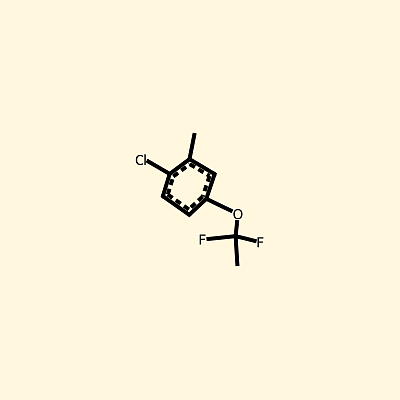 Cc1cc(OC(C)(F)F)ccc1Cl